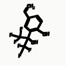 C=Cc1ccc(O)c(C(O)(C(F)(F)F)C(F)(F)F)c1